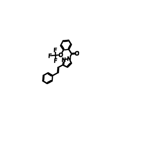 O=C(c1ccccc1OC(F)(F)F)n1ccc(/C=C/c2ccccc2)n1